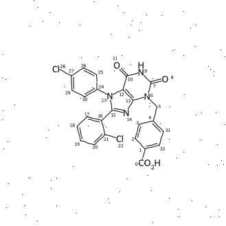 O=C(O)c1ccc(Cn2c(=O)[nH]c(=O)c3c2nc(-c2ccccc2Cl)n3-c2ccc(Cl)cc2)cc1